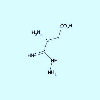 N=C(NN)N(N)CC(=O)O